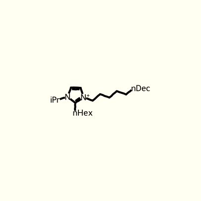 CCCCCCCCCCCCCCC[n+]1ccn(C(C)C)c1CCCCCC